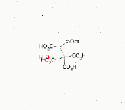 CCCCCCCCC(C(=O)O)C(C(=O)O)(C(=O)O)C(=O)O.O